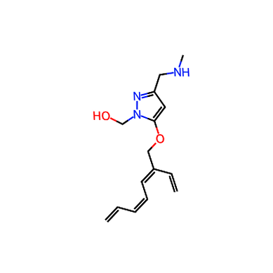 C=C/C=C\C=C(/C=C)COc1cc(CNC)nn1CO